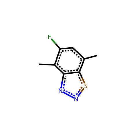 Cc1c(F)cc(C)c2snnc12